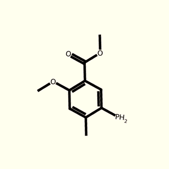 COC(=O)c1cc(P)c(C)cc1OC